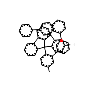 Oc1ccc(C2(c3ccc(O)cc3-c3cccc(-c4ccccc4)c3)c3ccccc3-c3ccccc32)c(-c2cccc(-c3ccccc3)c2)c1